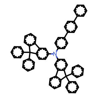 c1ccc(-c2ccc(-c3ccc(N(c4ccc5c(c4)-c4ccccc4C5(c4ccccc4)c4ccccc4)c4ccc5c(c4)-c4ccccc4C5(c4ccccc4)c4ccccc4)cc3)cc2)cc1